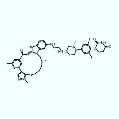 Cc1cc2cc(n1)-c1cnn(C)c1OCCC[C@@H](C)CN1/C(=N/C2=O)Nc2ccc(NCCN[C@H]3CCN(c4cc(F)c([C@H]5CCC(=O)NC5=O)c(F)c4)[C@@H](C)C3)cc21